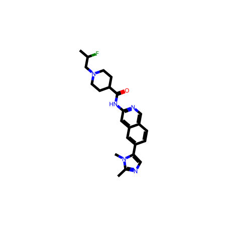 Cc1ncc(-c2ccc3cnc(NC(=O)C4CCN(CC(C)F)CC4)cc3c2)n1C